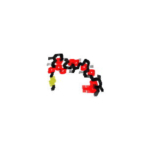 CCSSCCOC(=O)[C@H](C)C1O[C@@H](C[C@@H]2C[C@@H](OC)[C@@H](C)[C@]3(O2)O[C@@](C)(C2CC[C@@](C)([C@@H]4O[C@@H]([C@@H]5O[C@@](O)(CC)[C@H](C)C[C@@H]5C)C[C@@H]4C)O2)C[C@H]3C)CC[C@@H]1C